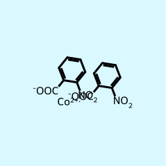 O=C([O-])c1ccccc1[N+](=O)[O-].O=C([O-])c1ccccc1[N+](=O)[O-].[Co+2]